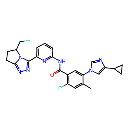 Cc1cc(F)c(C(=O)Nc2cccc(-c3nnc4n3C(CF)CC4)n2)cc1-n1cnc(C2CC2)c1